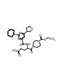 CCOC(=O)N1CCN(C(=O)C(CCC(=O)O)NC(=O)c2cc(C3CCOC3)nc(-c3ccccc3)n2)CC1